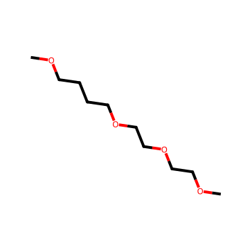 COCCCCOCCOCCOC